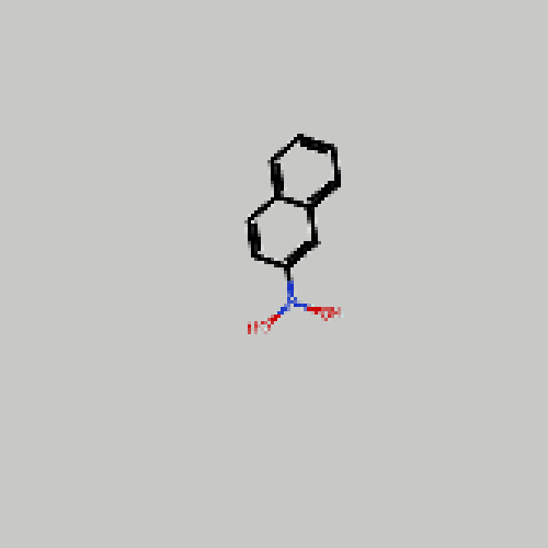 ON(O)c1[c]c2ccccc2cc1